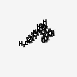 CN1CCN(c2ccc(Nc3ccc(-c4ccncc4C4CCOCC4)c4c3C(=O)NC4)nc2)CC1